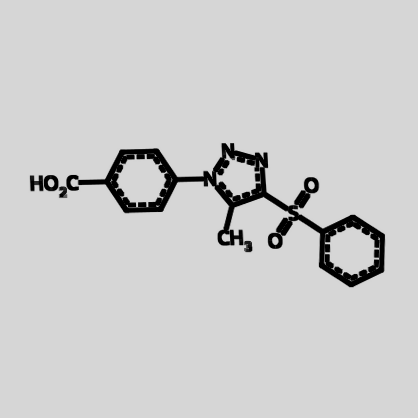 Cc1c(S(=O)(=O)c2ccccc2)nnn1-c1ccc(C(=O)O)cc1